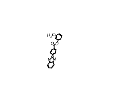 Cc1cccc(OC(=O)c2ccc(-n3nc4ccccc4n3)cc2)c1